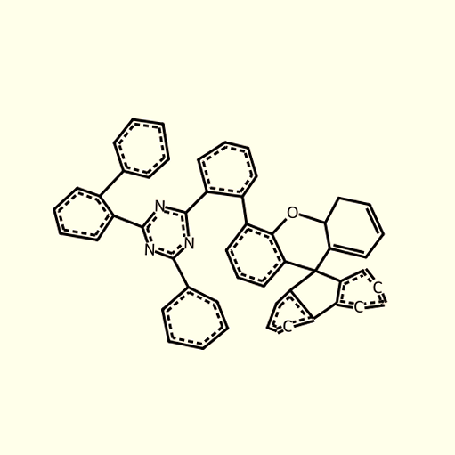 C1=CCC2Oc3c(-c4ccccc4-c4nc(-c5ccccc5)nc(-c5ccccc5-c5ccccc5)n4)cccc3C3(C2=C1)c1ccccc1-c1ccccc13